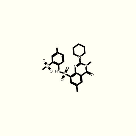 Cc1cc(S(=O)(=O)Nc2ccc(F)cc2S(C)(=O)=O)c2nc(N3CCCCC3)n(C)c(=O)c2c1